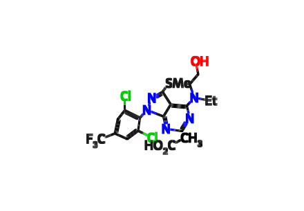 CC(=O)O.CCN(CCO)c1ncnc2c1c(SC)nn2-c1c(Cl)cc(C(F)(F)F)cc1Cl